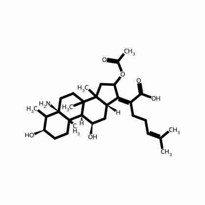 CC(=O)OC1CC2(C)[C@@H](C[C@@H](O)[C@@H]3C2(C)CC[C@@]2(N)C(C)[C@H](O)CCC32C)/C1=C(\CCC=C(C)C)C(=O)O